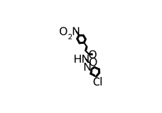 O=C(C=Cc1ccc([N+](=O)[O-])cc1)Nc1nc2cc(Cl)ccc2o1